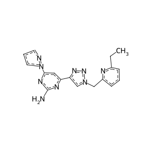 CCc1cccc(Cn2cc(-c3cc(-n4cccn4)nc(N)n3)nn2)n1